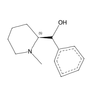 CN1CCCC[C@H]1C(O)c1ccccc1